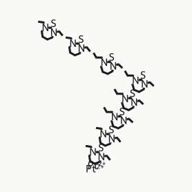 CCCN1CCCCN(CC)C1=S.CCCN1CCCCN(CC)C1=S.CCCN1CCCCN(CC)C1=S.CCCN1CCCCN(CC)C1=S.CCN1CCCCN(CC)C1=S.CCN1CCCCN(CC)C1=S.CCN1CCCCN(CC)C1=S.CCN1CCCCN(CC)C1=S.[Pt+2].[Pt+2]